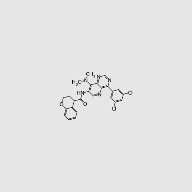 CN(C)c1c(NC(=O)C2CCOc3ccccc32)cnc2c(-c3cc(Cl)cc(Cl)c3)ncnc12